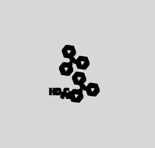 CC(=O)O.[Pd].c1ccc(P(c2ccccc2)c2ccccc2)cc1.c1ccc(P(c2ccccc2)c2ccccc2)cc1